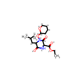 CCOC(=O)C1NC(=O)C(CC(C)C)N(OC2CCCCO2)C1=O